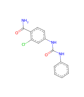 NC(=O)c1ccc(NC(=O)Nc2ccccc2)cc1Cl